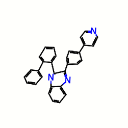 c1ccc(-c2ccccc2-c2nc3ccccc3nc2-c2ccc(-c3ccncc3)cc2)cc1